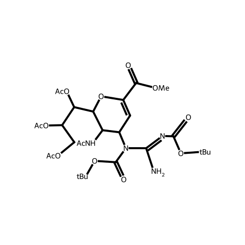 COC(=O)C1=CC(N(C(=O)OC(C)(C)C)C(N)=NC(=O)OC(C)(C)C)C(NC(C)=O)C(C(OC(C)=O)C(COC(C)=O)OC(C)=O)O1